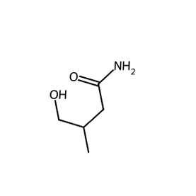 CC(CO)CC(N)=O